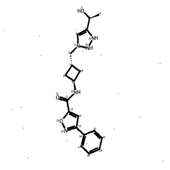 C[C@H](O)C1=CN(C[C@H]2C[C@H](NC(=O)c3cc(-c4ccccc4)no3)C2)NN1